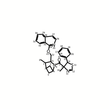 CC1C2CC(C2)N(C(=O)C2(C)N=CSC2c2ccccc2)C1COc1nccc2ccccc12